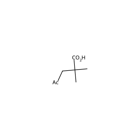 CC(=O)CC(C)(C)C(=O)O